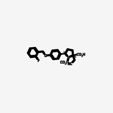 N#CC[C@@]1(C(=O)O)CC[C@H](c2ccc(OCc3ccccc3F)cc2)N1C(=O)O